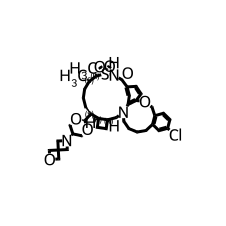 C[C@@H]1[C@@H](C)CCC[C@H]([C@H]2OC[C@H](N3CC4(COC4)C3)CO2)[C@@H]2CC[C@H]2CN2CCCCc3cc(Cl)ccc3COc3ccc(cc32)C(=O)NS1(=O)=O